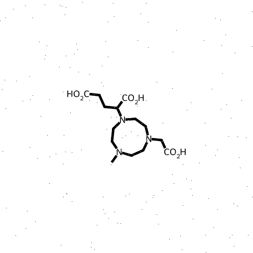 CN1CCN(CC(=O)O)CCN(C(CCC(=O)O)C(=O)O)CC1